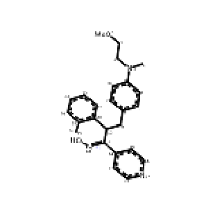 COCCN(C)c1ccc(CC(/C(=N\O)c2ccncc2)c2ccccc2C)cc1